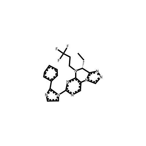 CC[C@@H]1c2nncn2-c2cnc(-n3ccnc3-c3ccccc3)nc2N1CCC(F)(F)F